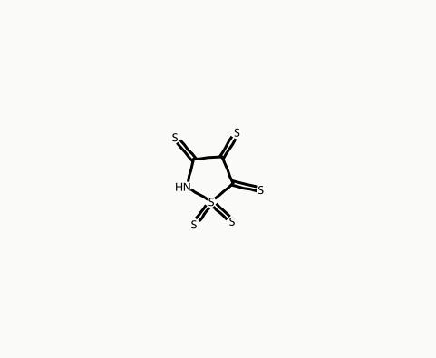 S=C1NS(=S)(=S)C(=S)C1=S